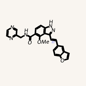 COc1c(C(=O)NCc2cnccn2)ccc2[nH]nc(/C=C/c3ccc4occc4c3)c12